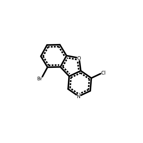 Clc1cncc2c1oc1cccc(Br)c12